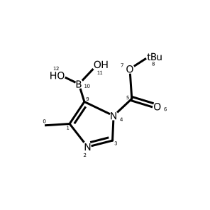 Cc1ncn(C(=O)OC(C)(C)C)c1B(O)O